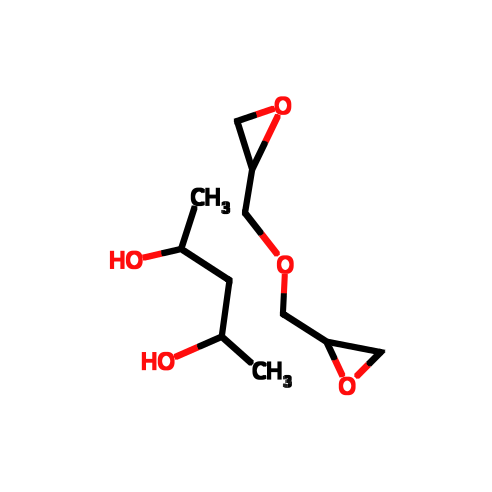 C(OCC1CO1)C1CO1.CC(O)CC(C)O